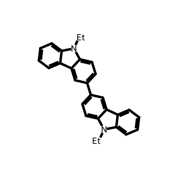 CCn1c2ccccc2c2cc(-c3ccc4c(c3)c3ccccc3n4CC)ccc21